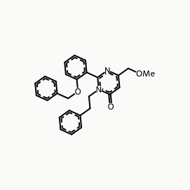 COCc1cc(=O)n(CCc2ccccc2)c(-c2ccccc2OCc2ccccc2)n1